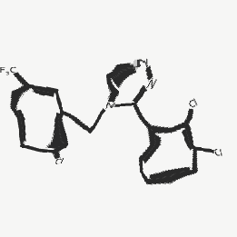 FC(F)(F)c1ccc(Cl)c(Cn2cnnc2-c2cccc(Cl)c2Cl)c1